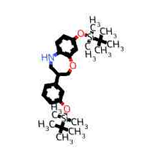 CC(C)(C)[Si](C)(C)Oc1cccc(C2CNc3ccc(O[Si](C)(C)C(C)(C)C)cc3OC2)c1